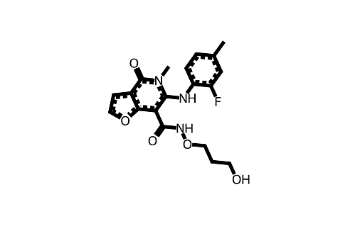 Cc1ccc(Nc2c(C(=O)NOCCCO)c3occc3c(=O)n2C)c(F)c1